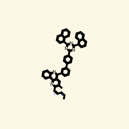 C/C=C\C=C/c1nc2c(cc1C)c(-c1cccc(-c3ccc(-c4nc(-c5cccc6ccccc56)nc(-c5cccc6ccccc56)n4)cc3)c1)nc1ccccc12